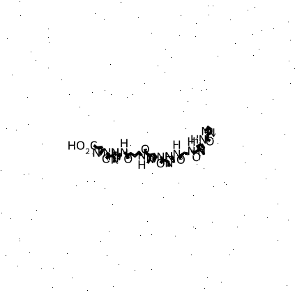 Cn1cc(NC(=O)c2nc(NC(=O)CCCNC(=O)c3cc(NC(=O)c4nc(NC(=O)CCNC(=O)c5cc(NC(=O)c6nccn6C)cn5C)cn4C)cn3C)cn2C)cc1C(=O)O